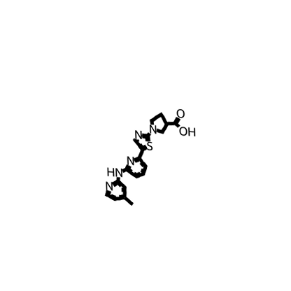 Cc1ccnc(Nc2cccc(-c3cnc(N4CCC(C(=O)O)C4)s3)n2)c1